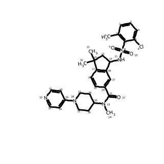 Cc1cccc(Cl)c1S(=O)(=O)NC1CC(C)(C)c2ccc(C(=O)N(C)C3CCN(c4ccncc4)CC3)cc21